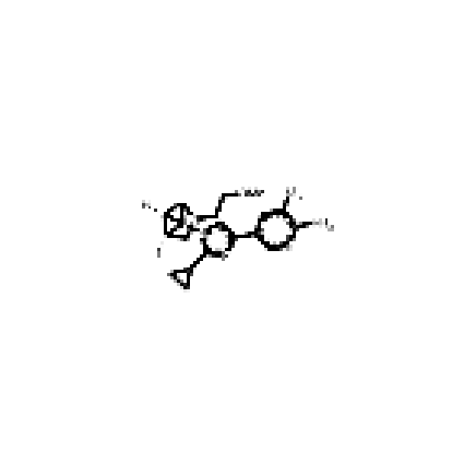 COCCN1C[C@H]2[C@H]3C1[C@@]32n1cc(-c2cnc(N)c(C(F)(F)F)c2)nc1C1CC1